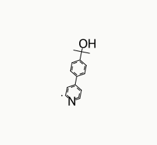 CC(C)(O)c1ccc(-c2c[c]ncc2)cc1